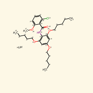 CCCCCOc1cc(OCCCCC)c(PC(=O)c2c(Cl)cccc2OC)c(OCCCCC)c1.[LiH]